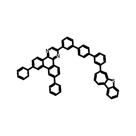 C1=C(c2cccc(-c3ccc(-c4cccc(-c5cnc6c7ccc(C8C=CC=CC8)cc7c7cc(-c8ccccc8)ccc7c6n5)c4)cc3)c2)C=CC=c2c=1sc1ccccc21